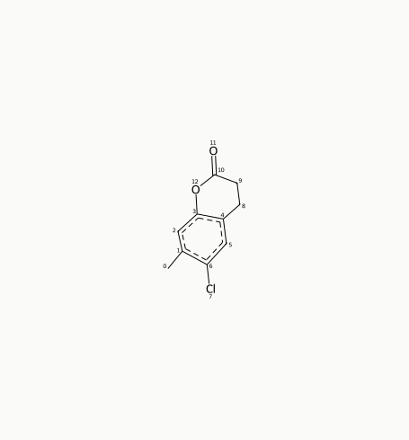 Cc1cc2c(cc1Cl)CCC(=O)O2